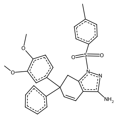 COc1ccc(C2(c3ccccc3)C=Cc3c(N)nn(S(=O)(=O)c4ccc(C)cc4)c3C2)cc1OC